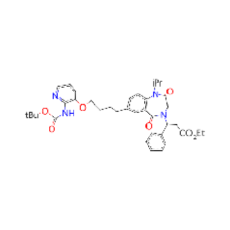 CCOC(=O)CC(c1ccccc1)N1CC(=O)N(C(C)C)c2ccc(CCCCOc3cccnc3NC(=O)OC(C)(C)C)cc2C1=O